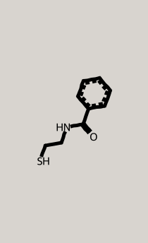 O=C(NCCS)c1ccccc1